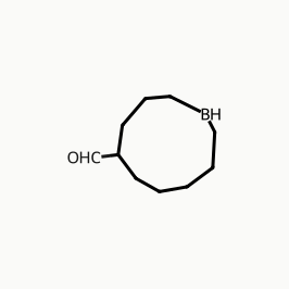 O=CC1CCCBCCCCC1